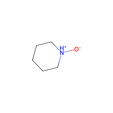 [O-][NH+]1CCCCC1